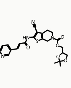 CC1(C)OCC(COC(=O)N2CCc3c(sc(NC(=O)C=Cc4cccnc4)c3C#N)C2)O1